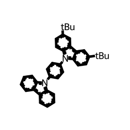 CC(C)(C)c1ccc2c(c1)c1cc(C(C)(C)C)ccc1n2-c1ccc(-n2c3ccccc3c3ccccc32)cc1